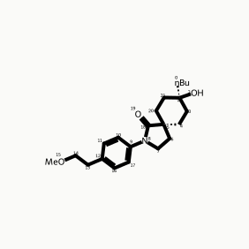 CCCC[C@]1(O)CC[C@@]2(CCN(c3ccc(CCOC)cc3)C2=O)CC1